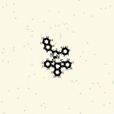 c1ccc(-c2cc(-c3ccc4ccccc4c3)nc(-n3c4ccccc4c4c5ccccc5c5c6ccccc6sc5c43)n2)cc1